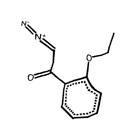 CCOc1ccccc1C(=O)C=[N+]=[N-]